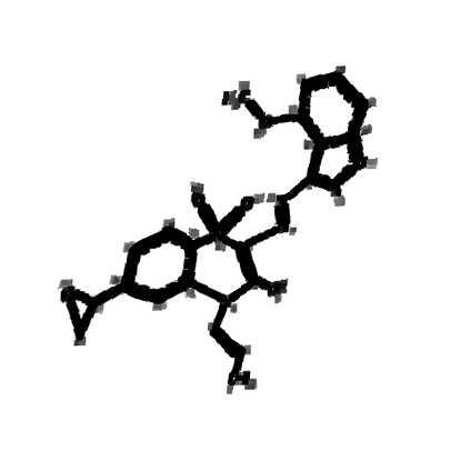 C/C=C/N1C(O)=C(N=Nc2noc3cccc(OC)c23)S(=O)(=O)c2ccc(C3CO3)cc21